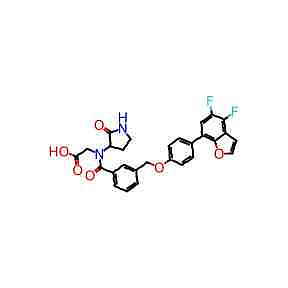 O=C(O)CN(C(=O)c1cccc(COc2ccc(-c3cc(F)c(F)c4ccoc34)cc2)c1)C1CCNC1=O